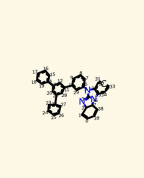 C1=CC2N=C3N(c4cccc(-c5cc(-c6ccccc6)cc(-c6ccccc6)c5)c4)c4ccccc4N3C2C=C1